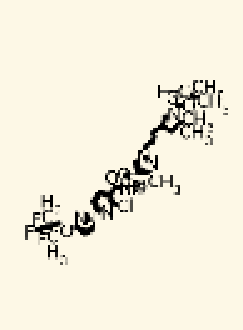 Cc1nn(CCCC2CN(C(=O)OC(C)(C)C)C(C)(C)C2)cc1S(=O)(=O)NC(=O)c1ccc(-n2ccc(OCC(C)(C)C(F)(F)F)n2)nc1Cl